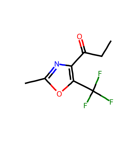 CCC(=O)c1nc(C)oc1C(F)(F)F